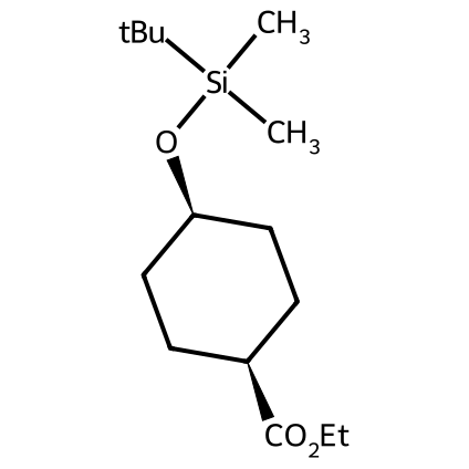 CCOC(=O)[C@H]1CC[C@@H](O[Si](C)(C)C(C)(C)C)CC1